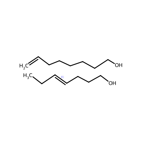 C=CCCCCCCO.CC/C=C/CCCO